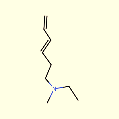 C=C/C=C/CCN(C)CC